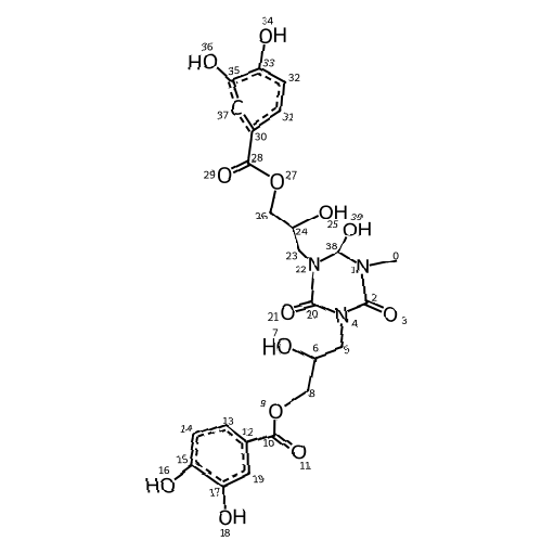 CN1C(=O)N(CC(O)COC(=O)c2ccc(O)c(O)c2)C(=O)N(CC(O)COC(=O)c2ccc(O)c(O)c2)C1O